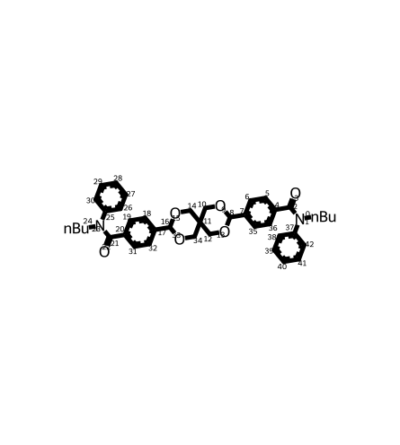 CCCCN(C(=O)c1ccc(C2OCC3(CO2)COC(c2ccc(C(=O)N(CCCC)c4ccccc4)cc2)OC3)cc1)c1ccccc1